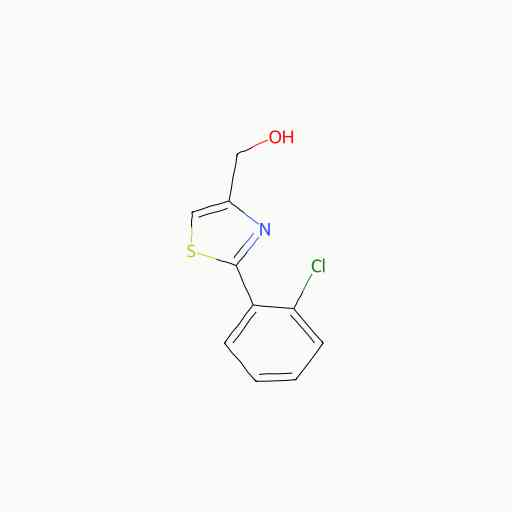 OCc1csc(-c2ccccc2Cl)n1